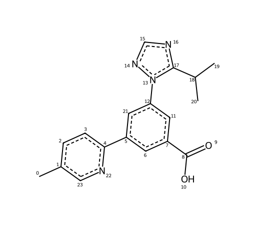 Cc1ccc(-c2cc(C(=O)O)cc(-n3ncnc3C(C)C)c2)nc1